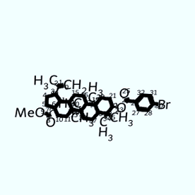 C=C(C)[C@@H]1CC[C@]2(C(=O)OC)CC[C@]3(C)C(CCC4[C@@]5(C)CC[C@H](OC(=O)c6ccc(Br)cc6)C(C)(C)C5CC[C@]43C)C12